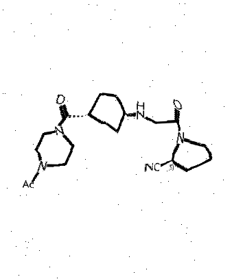 CC(=O)N1CCN(C(=O)[C@H]2CC[C@H](NCC(=O)N3CCC[C@H]3C#N)CC2)CC1